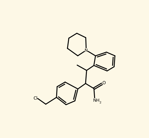 CC(c1ccccc1N1CCCCC1)C(C(N)=O)c1ccc(CCl)cc1